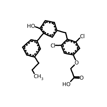 CCCc1cccc(-c2cc(Cc3c(Cl)cc(OCC(=O)O)cc3Cl)ccc2O)c1